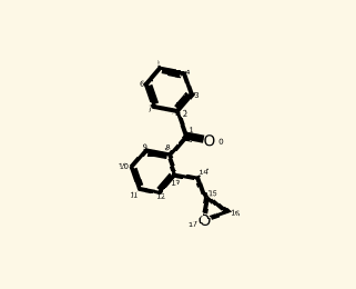 O=C(c1ccccc1)c1ccccc1CC1CO1